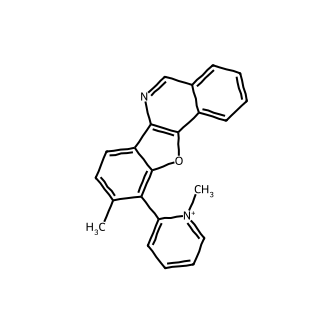 Cc1ccc2c(oc3c4ccccc4cnc23)c1-c1cccc[n+]1C